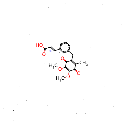 COC1=C(OC)C(=O)C(Cc2cccc(/C=C/C(=O)O)c2)=C(C)C1=O